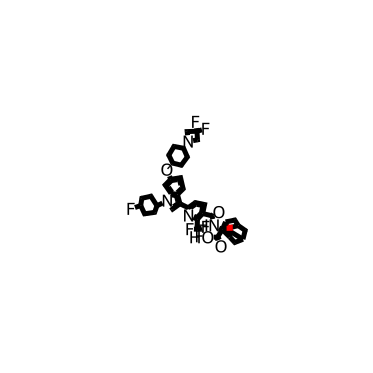 O=C(NC1(C(=O)O)C2CC3CC(C2)CC1C3)c1ccc(-c2cn(C3CCC(F)CC3)c3cc(O[C@H]4CC[C@H](N5CC(F)(F)C5)CC4)ccc23)nc1C(F)(F)F